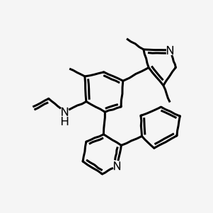 C=CNc1c(C)cc(C2=C(C)CN=C2C)cc1-c1cccnc1-c1ccccc1